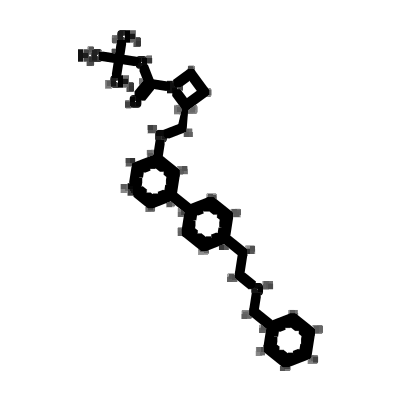 CC(C)(C)OC(=O)N1CC[C@H]1COc1cncc(-c2ccc(CCOCc3ccccc3)cc2)c1